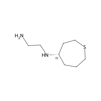 NCCN[C@H]1CCCSCC1